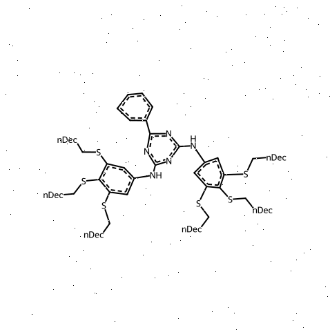 CCCCCCCCCCCSc1cc(Nc2nc(Nc3cc(SCCCCCCCCCCC)c(SCCCCCCCCCCC)c(SCCCCCCCCCCC)c3)nc(-c3cc[c]cc3)n2)cc(SCCCCCCCCCCC)c1SCCCCCCCCCCC